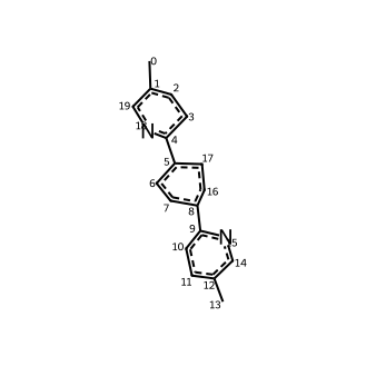 Cc1ccc(-c2ccc(-c3ccc(C)cn3)cc2)nc1